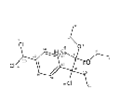 CCOC([SiH3])(OCC)C(Cl)(CC)c1ccc(C(Cl)Cl)cc1